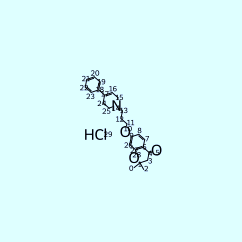 CC1(C)CC(=O)c2ccc(OCCCN3CC=C(c4ccccc4)CC3)cc2O1.Cl